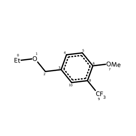 CCOCc1ccc(OC)c(C(F)(F)F)c1